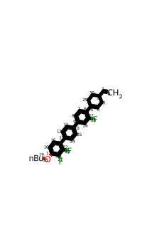 C=CC1CC=C(c2ccc(-c3ccc(-c4ccc(OCCCC)c(F)c4F)cc3)cc2F)CC1